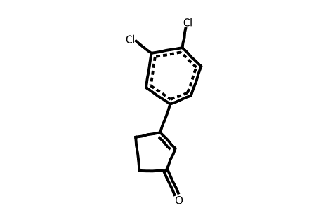 O=C1C=C(c2ccc(Cl)c(Cl)c2)CC1